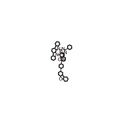 c1ccc(-c2nc(-c3ccccc3)nc(-n3c4ccccc4c4ccc5c6ccccc6n(-c6cccc7nc(-c8ccc(-c9ccc%10oc%11ccccc%11c%10c9)cc8)oc67)c5c43)n2)cc1